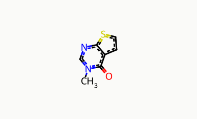 Cn1cnc2sccc2c1=O